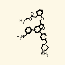 CCOC(=O)Cc1ccccc1OCc1coc2c(-c3ccc(CN4CCN(C)CC4)cc3)cc(-c3cccc(CN)c3)cc12